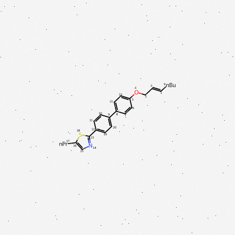 CCCCC=CCOc1ccc(-c2ccc(-c3ncc(CCC)s3)cc2)cc1